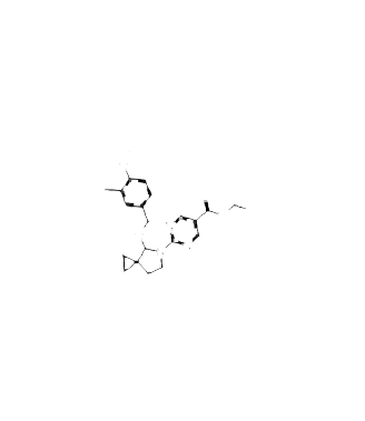 CCOC(=O)c1cnc(N2CCC3(CC3)C2OCc2ccc(OC)c(Cl)c2)nc1